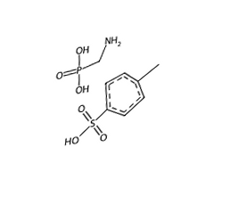 Cc1ccc(S(=O)(=O)O)cc1.NCP(=O)(O)O